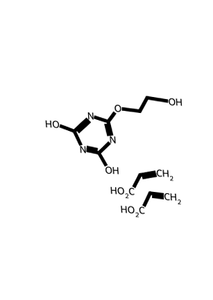 C=CC(=O)O.C=CC(=O)O.OCCOc1nc(O)nc(O)n1